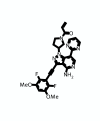 C=CC(=O)N1CCC(n2nc(C#Cc3c(F)c(OC)cc(OC)c3F)c3c(N)ncc(-c4ncccn4)c32)C1